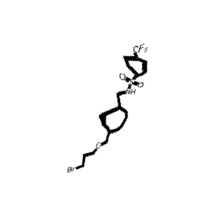 O=S(=O)(NCC1CCC(COCCCBr)CC1)c1ccc(C(F)(F)F)cc1